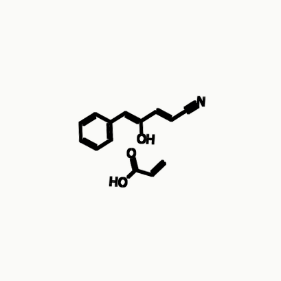 C=CC(=O)O.N#CC=CC(O)=Cc1ccccc1